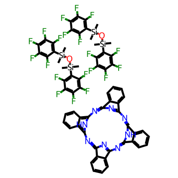 C[Si](C)(O[Si](C)(C)c1c(F)c(F)c(F)c(F)c1F)c1c(F)c(F)c(F)c(F)c1F.C[Si](C)(O[Si](C)(C)c1c(F)c(F)c(F)c(F)c1F)c1c(F)c(F)c(F)c(F)c1F.c1ccc2c(c1)-c1nc-2nc2[nH]c(nc3nc(nc4[nH]c(n1)c1ccccc41)-c1ccccc1-3)c1ccccc21